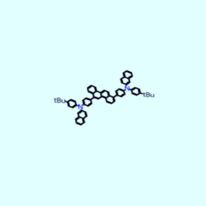 CC(C)(C)c1ccc(N(c2ccc(-c3cc4c5cccc(-c6ccc(N(c7ccc(C(C)(C)C)cc7)c7ccc8ccccc8c7)cc6)c5ccc4c4ccccc34)cc2)c2ccc3ccccc3c2)cc1